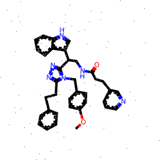 COc1ccc(Cn2c(CCc3ccccc3)nnc2C(CNC(=O)CCc2cccnc2)c2c[nH]c3ccccc23)cc1